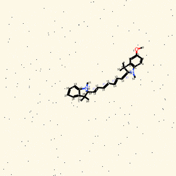 COc1ccc2c(c1)C(C)(C)\C(=C/C=C/C=C/C=C/C1=[N+](C)c3ccccc3C1(C)C)N2C